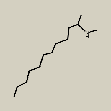 CCCCCCCCCCC(C)NC